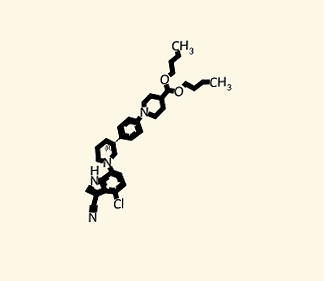 CCCCOC(OCCCC)C1CCN(c2ccc([C@H]3CCCN(c4ccc(Cl)c5c(C#N)c[nH]c45)C3)cc2)CC1